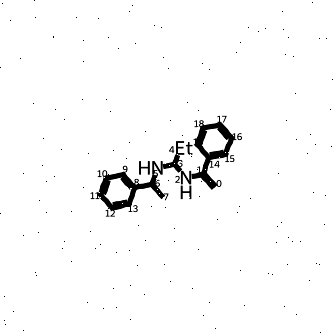 C=C(NC(CC)NC(C)c1ccccc1)c1ccccc1